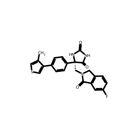 Cc1cscc1-c1ccc([C@@]2(CN3Cc4ccc(F)cc4C3=O)NC(=O)NC2=O)cc1